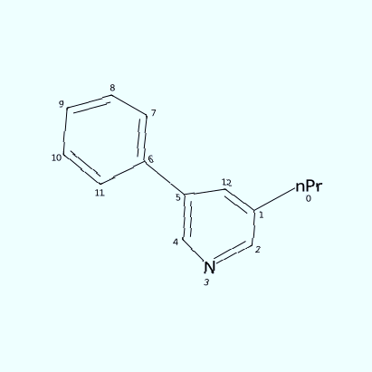 CCCc1cncc(-c2ccccc2)c1